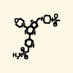 CS(=O)(=O)N1CCN(Cc2cc3nc(-c4ccc(CS(N)(=O)=O)nc4)nc(N4CCOCC4)c3s2)CC1